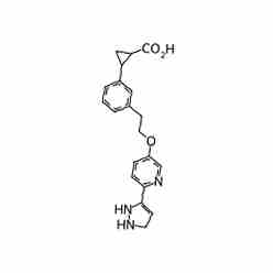 O=C(O)C1CC1c1cccc(CCOc2ccc(C3=CCNN3)nc2)c1